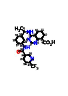 CC(Nc1ncnc2c(C(=O)O)cccc12)c1cccc(NC(=O)c2ccc(C(F)(F)F)nc2)c1